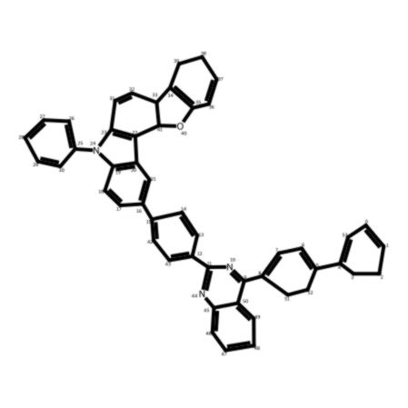 C1=CCCC(C2=CC=C(c3nc(-c4ccc(-c5ccc6c(c5)c5c(n6-c6ccccc6)C=CC6C7=C(C=CCC7)OC56)cc4)nc4ccccc34)CC2)=C1